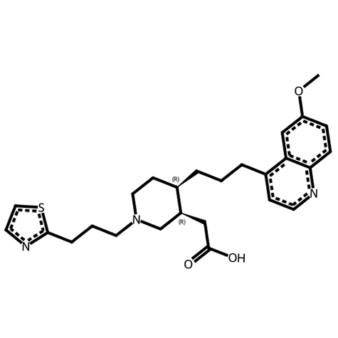 COc1ccc2nccc(CCC[C@@H]3CCN(CCCc4nccs4)C[C@@H]3CC(=O)O)c2c1